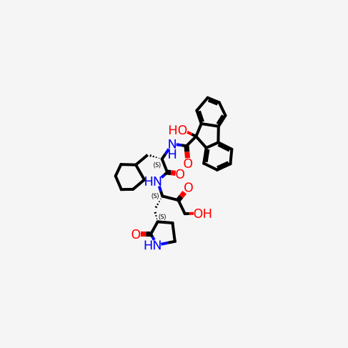 O=C1NCC[C@H]1C[C@H](NC(=O)[C@H](CC1CCCCC1)NC(=O)C1(O)c2ccccc2-c2ccccc21)C(=O)CO